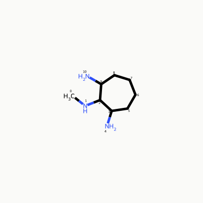 CNC1C(N)CCCCC1N